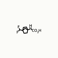 O=C(O)NC12CCC(C(F)F)(CC1)C2